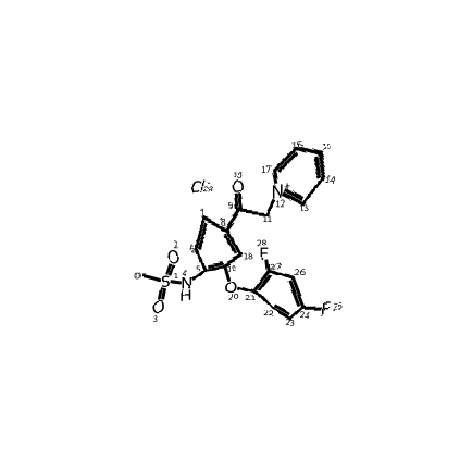 CS(=O)(=O)Nc1ccc(C(=O)C[n+]2ccccc2)cc1Oc1ccc(F)cc1F.[Cl-]